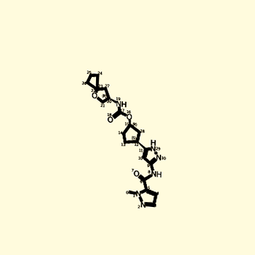 Cn1nccc1C(=O)Nc1cc([C@H]2CC[C@@H](OC(=O)N[C@H]3COC4(CCC4)C3)C2)[nH]n1